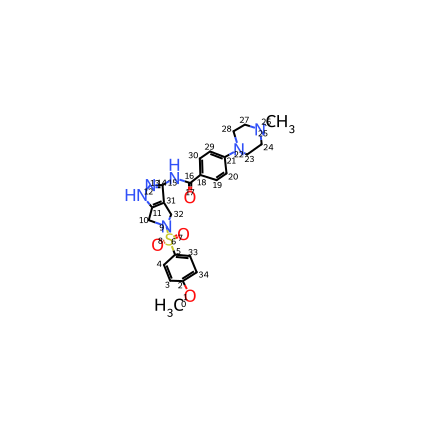 COc1ccc(S(=O)(=O)N2Cc3[nH]nc(NC(=O)c4ccc(N5CCN(C)CC5)cc4)c3C2)cc1